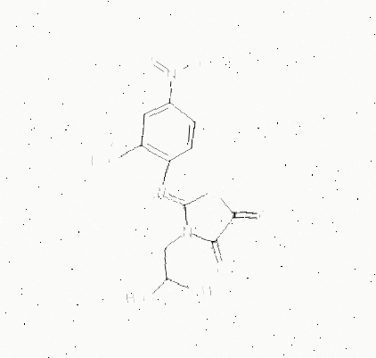 C=C1S/C(=N\c2ccc([N+](=O)[O-])cc2C)N(CC(C)C)C1=O